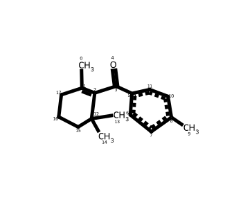 CC1=C(C(=O)c2ccc(C)cc2)C(C)(C)CCC1